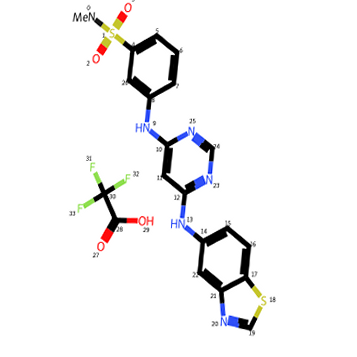 CNS(=O)(=O)c1cccc(Nc2cc(Nc3ccc4scnc4c3)ncn2)c1.O=C(O)C(F)(F)F